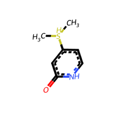 C[SH](C)c1cc[nH]c(=O)c1